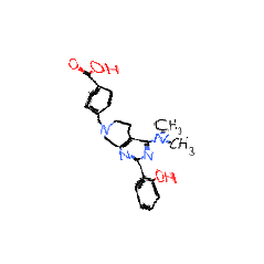 CN(C)c1nc(-c2ccccc2O)nc2c1CCN(Cc1ccc(C(=O)O)cc1)C2